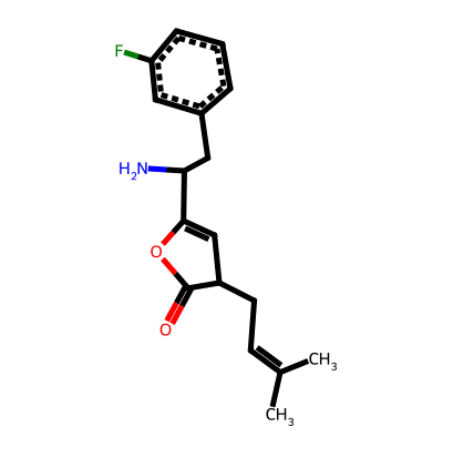 CC(C)=CCC1C=C(C(N)Cc2cccc(F)c2)OC1=O